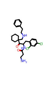 NCCC(=O)NC(Cc1ccc(Cl)cc1Cl)C(=O)C1(CNCCc2ccccc2)CC[CH]CC1